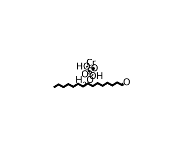 CCCCCCCCCCCCCCC=O.O.O=S(=O)(O)O.[Cr]